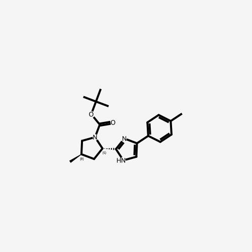 Cc1ccc(-c2c[nH]c([C@@H]3C[C@@H](C)CN3C(=O)OC(C)(C)C)n2)cc1